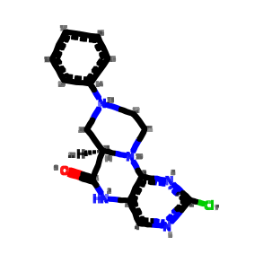 O=C1Nc2cnc(Cl)nc2N2CCN(c3ccccc3)C[C@H]12